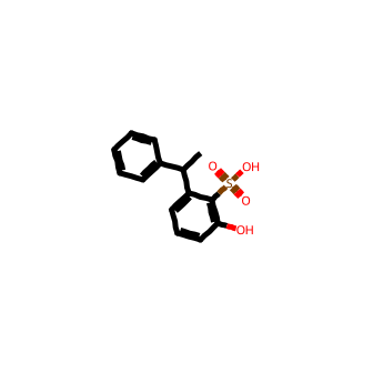 CC(c1ccccc1)c1cccc(O)c1S(=O)(=O)O